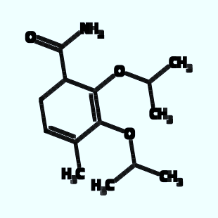 CC1=CCC(C(N)=O)C(OC(C)C)=C1OC(C)C